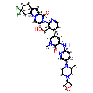 C[C@H]1CN(C2COC2)CCN1c1ccc(Nc2cc(-c3ccnc(-n4ccn5c6c(cc5c4=O)CCC(F)(F)C6)c3CO)cn(C)c2=O)nc1